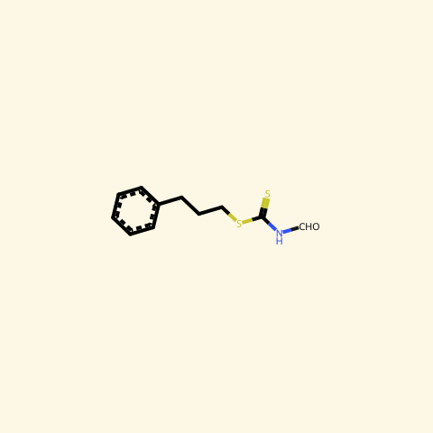 O=CNC(=S)SCCCc1ccccc1